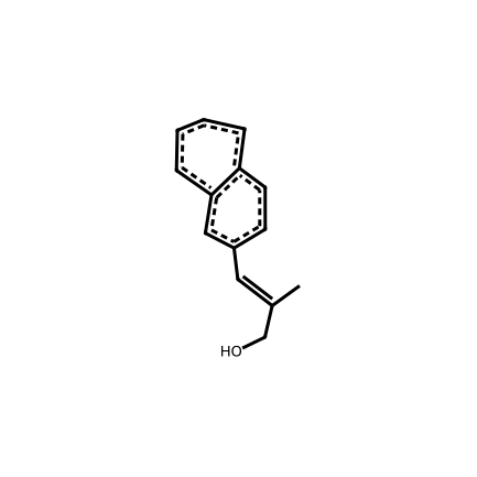 C/C(=C\c1ccc2ccccc2c1)CO